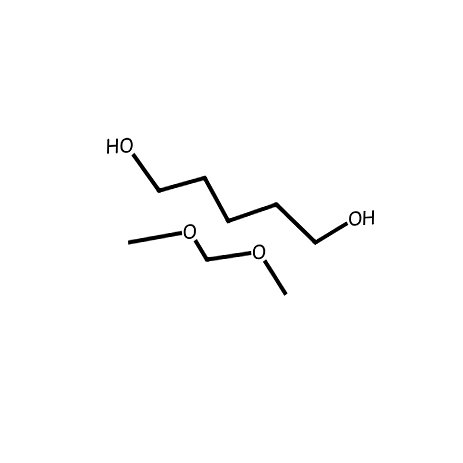 COCOC.OCCCCCO